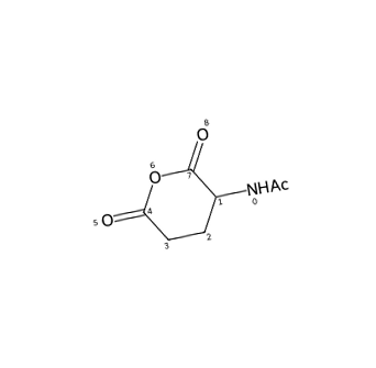 CC(=O)NC1CCC(=O)OC1=O